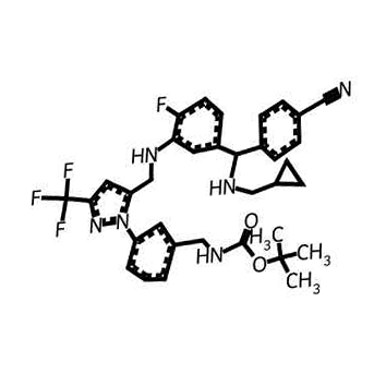 CC(C)(C)OC(=O)NCc1cccc(-n2nc(C(F)(F)F)cc2CNc2cc(C(NCC3CC3)c3ccc(C#N)cc3)ccc2F)c1